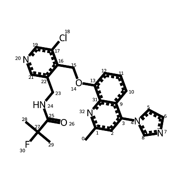 Cc1cc(-n2ccnc2)c2cccc(OCc3c(Cl)cncc3CNC(=O)C(C)(C)F)c2n1